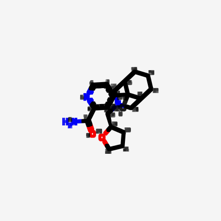 COC1(c2ccnc(C(N)=O)c2)C2CCCC1CN(C[C@H]1CCCO1)C2